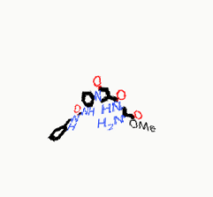 COC(=O)C(N)CNC(=O)C1CC(=O)N(c2cccc(NC(=O)NCc3ccccc3)c2)C1